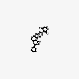 O=c1[nH]c(-c2ccccc2)nc2ccc3nc(CNc4c(Cl)cccc4Cl)[nH]c3c12